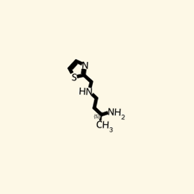 C[C@H](N)CCNCc1nccs1